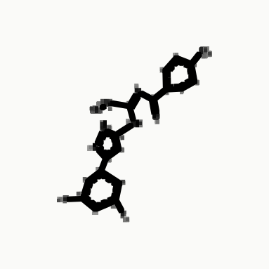 CC(C)(C)N/C(=N/C(=O)c1ccc(C(F)(F)F)cc1)Nc1cc(-c2cc(F)cc(F)c2)n[nH]1